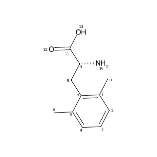 Cc1cccc(C)c1C[C@@H](N)C(=O)O